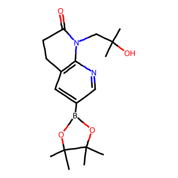 CC(C)(O)CN1C(=O)CCc2cc(B3OC(C)(C)C(C)(C)O3)cnc21